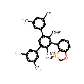 COc1c(-c2cc(C(F)(F)F)cc(C(F)(F)F)c2)cc(-c2cc(C(F)(F)F)cc(C(F)(F)F)c2)c(OC)c1-c1cccc2c1[P@](C(C)(C)C)CO2